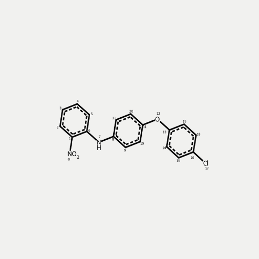 O=[N+]([O-])c1ccccc1Nc1ccc(Oc2ccc(Cl)cc2)cc1